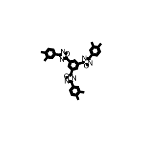 Cc1ccc(-c2noc(-c3cc(-c4nc(-c5ccc(C)c(C)c5)no4)cc(-c4nc(-c5ccc(C)c(C)c5)no4)c3)n2)cc1C